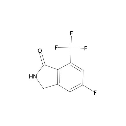 O=C1NCc2cc(F)cc(C(F)(F)F)c21